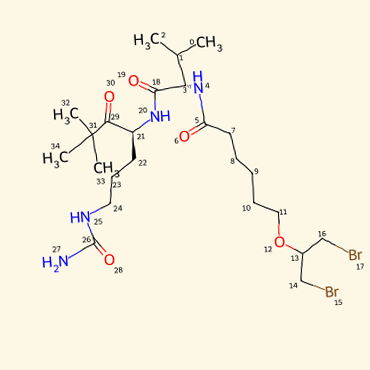 CC(C)[C@H](NC(=O)CCCCCOC(CBr)CBr)C(=O)N[C@@H](CCCNC(N)=O)C(=O)C(C)(C)C